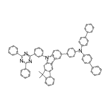 CC1(C)c2ccccc2-c2cc3c4cc(-c5ccc(N(c6ccc(-c7ccccc7)cc6)c6ccc(-c7ccccc7)cc6)cc5)ccc4n(-c4cccc(-c5nc(-c6ccccc6)nc(-c6ccccc6)n5)c4)c3cc21